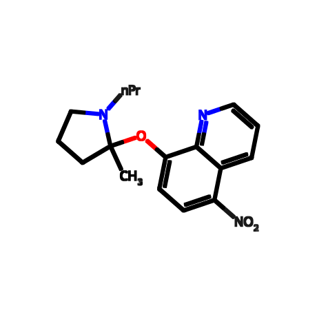 CCCN1CCCC1(C)Oc1ccc([N+](=O)[O-])c2cccnc12